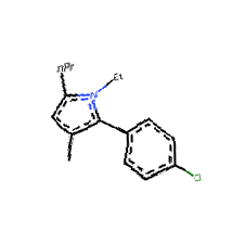 CCCc1cc(C)c(-c2ccc(Cl)cc2)n1CC